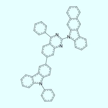 c1ccc(-c2nc(-n3c4ccccc4c4cc5ccccc5cc43)nc3cc(-c4ccc5c(c4)c4ccccc4n5-c4ccccc4)ccc23)cc1